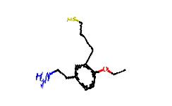 CCOc1ccc(CCN)cc1CCCS